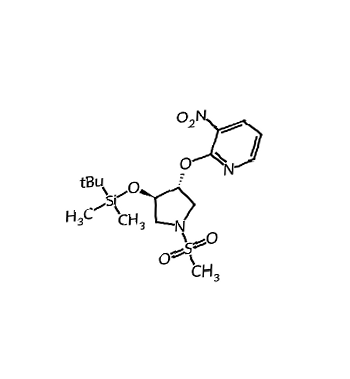 CC(C)(C)[Si](C)(C)O[C@@H]1CN(S(C)(=O)=O)C[C@H]1Oc1ncccc1[N+](=O)[O-]